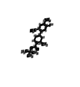 Cc1cc(N)c(F)cc1C1=CCN(C(=O)OC(C)(C)C)C(C)C1